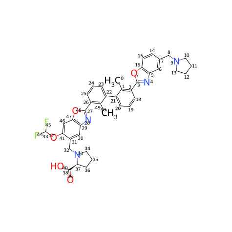 Cc1c(-c2nc3cc(CN4CCCC4)ccc3o2)cccc1-c1cccc(-c2nc3cc(CN4CCC[C@H]4C(=O)O)c(OC(F)F)cc3o2)c1C